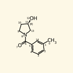 Cc1cccc(C(=O)N2CC[C@@H](O)C2)c1